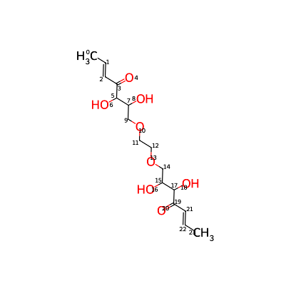 CC=CC(=O)C(O)C(O)COCCOCC(O)C(O)C(=O)C=CC